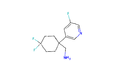 NCC1(c2cncc(F)c2)CCC(F)(F)CC1